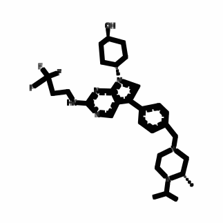 CC(C)N1CCN(Cc2ccc(-c3cn([C@H]4CC[C@H](O)CC4)c4nc(NCCC(F)(F)F)ncc34)cc2)C[C@@H]1C